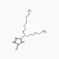 CCCCCCCC(CCCCCC)c1n[nH]c(=O)[nH]1